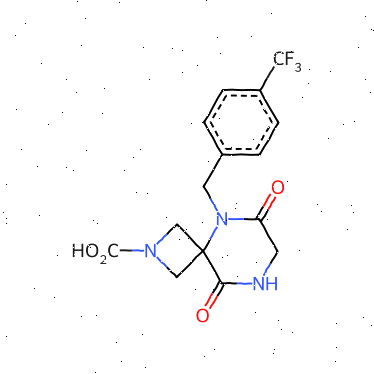 O=C(O)N1CC2(C1)C(=O)NCC(=O)N2Cc1ccc(C(F)(F)F)cc1